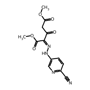 COC(=O)CC(=O)C(=NNc1ccc(C#N)nc1)C(=O)OC